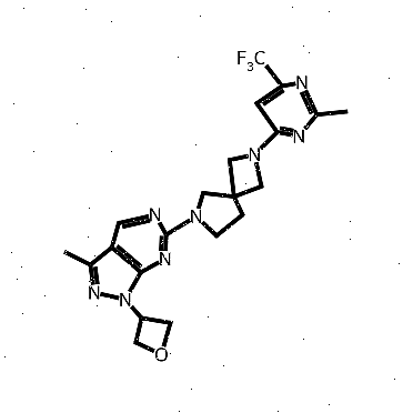 Cc1nc(N2CC3(CCN(c4ncc5c(C)nn(C6COC6)c5n4)C3)C2)cc(C(F)(F)F)n1